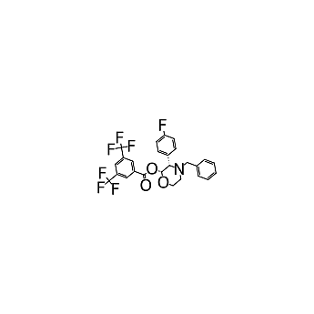 O=C(O[C@H]1OCCN(Cc2ccccc2)[C@H]1c1ccc(F)cc1)c1cc(C(F)(F)F)cc(C(F)(F)F)c1